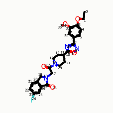 CCOc1ccc(-c2noc(C3CCN(C(=O)CN4Cc5ccc(F)cc5C4=O)CC3)n2)cc1OC